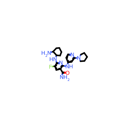 NC(=O)c1cc(F)c(NC2CCCCC2N)nc1Nc1ccnc(N2CCCCC2)c1